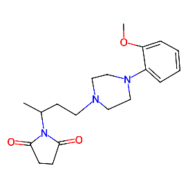 COc1ccccc1N1CCN(CCC(C)N2C(=O)CCC2=O)CC1